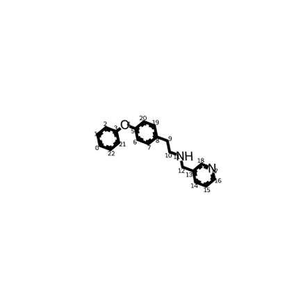 c1ccc(Oc2ccc(CCNCc3cccnc3)cc2)cc1